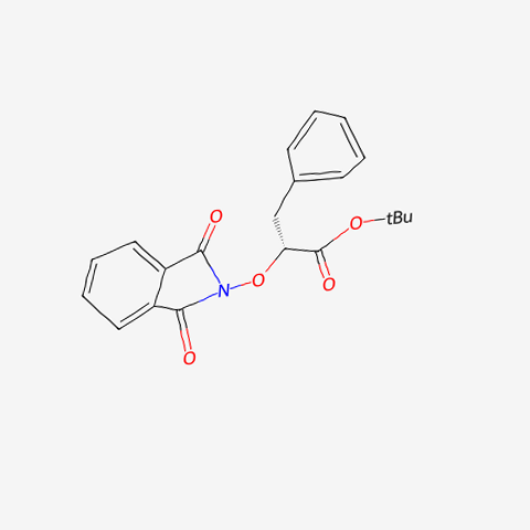 CC(C)(C)OC(=O)[C@@H](Cc1ccccc1)ON1C(=O)c2ccccc2C1=O